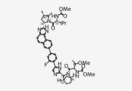 COC(=O)NC(C(=O)N1[C@@H]2CC[C@@H](C2)[C@H]1c1ncc(-c2ccc(-c3ccc4c(ccc5nc([C@@H]6C[C@@H](C)[C@@H](C)N6C(=O)[C@@H](NC(=O)OC)C(C)C)[nH]c54)c3)cc2F)[nH]1)[C@@H](C)OC